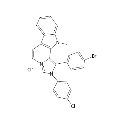 Cn1c2ccccc2c2cc[n+]3cn(-c4ccc(Cl)cc4)c(-c4ccc(Br)cc4)c3c21.[Cl-]